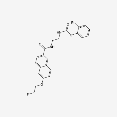 CC(C)c1ccccc1OC(=O)NCCNC(=O)c1ccc2cc(OCCF)ccc2c1